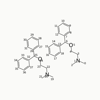 CN(C)CCOC(c1ccccc1)c1ccccc1.CN(C)CCOC(c1ccccc1)c1ccccc1